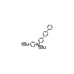 CC(C)(C)c1ccc(N(c2ccc(-c3ccc(-c4ccccc4)cc3)cc2)C(C)(C)C)cc1